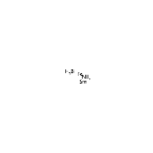 N.[BiH3].[Fe].[Sm]